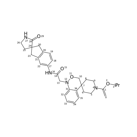 C=C(OC(C)C)N1CCC2(CC1)CON(CC(=O)Nc1ccc3c(c1)CC1(CCNC1=O)C3)c1ccccc12